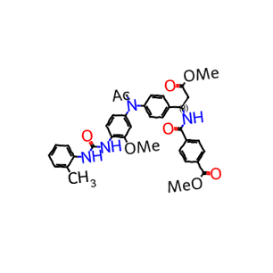 COC(=O)C[C@@H](NC(=O)c1ccc(C(=O)OC)cc1)c1ccc(N(C(C)=O)c2ccc(NC(=O)Nc3ccccc3C)c(OC)c2)cc1